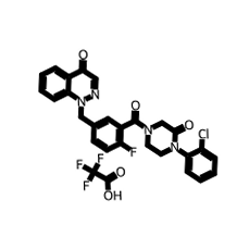 O=C(O)C(F)(F)F.O=C(c1cc(Cn2ncc(=O)c3ccccc32)ccc1F)N1CCN(c2ccccc2Cl)C(=O)C1